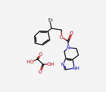 CCC(COC(=O)N1CCc2[nH]cnc2C1)c1ccccc1.O=C(O)C(=O)O